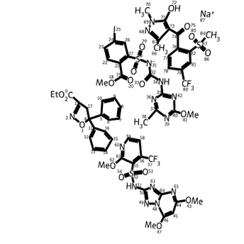 CCOC(=O)C1=NOC(c2ccccc2)(c2ccccc2)C1.COC(=O)c1ccc(I)cc1S(=O)(=O)[N-]C(=O)Nc1nc(C)nc(OC)n1.COc1cc(OC)n2nc(NS(=O)(=O)c3c(C(F)(F)F)ccnc3OC)nc2n1.Cc1nn(C)c(O)c1C(=O)c1ccc(C(F)(F)F)cc1S(C)(=O)=O.[Na+]